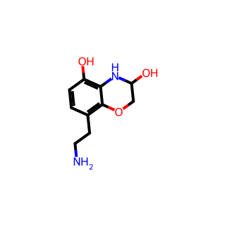 NCCc1ccc(O)c2c1OCC(O)N2